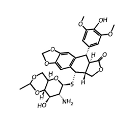 COc1cc([C@H]2c3cc4c(cc3[C@@H](S[C@@H]3O[C@@H]5COC(C)O[C@H]5[C@H](O)[C@H]3N)[C@H]3COC(=O)[C@H]23)OCO4)cc(OC)c1O